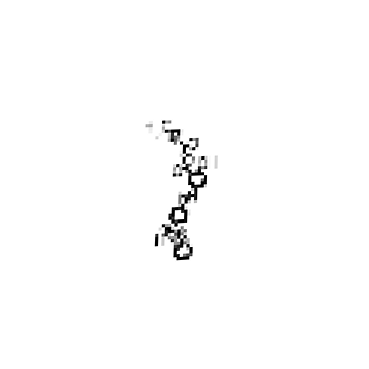 CC1CN(C(=O)COC(=O)c2cc(N=Nc3ccc(S(=O)(=O)Nc4ccccn4)cc3)ccc2O)C1